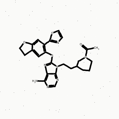 CC(=O)N1CCCC(CCn2c(Sc3cc4c(cc3-c3ncco3)OCC4)nc3c(N)ncnc32)C1